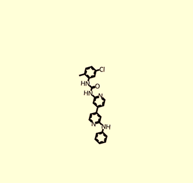 Cc1ccc(Cl)cc1NC(=O)Nc1cc(-c2ccnc(Nc3ccccc3)c2)ccn1